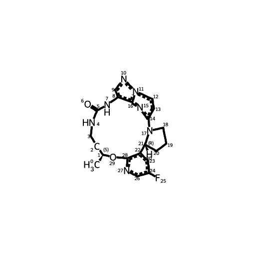 C[C@H]1CCNC(=O)Nc2cnn3ccc(nc23)N2CCC[C@@H]2c2cc(F)cnc2O1